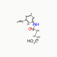 C#Cc1cccc(NC(=O)CCCC(=O)O)c1